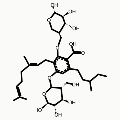 CCC(C)CCc1cc(OC2O[C@H](O)[C@@H](O)[C@H](O)[C@H]2CO)c(C/C=C(\C)CCC=C(C)C)c(OC[C@H]2CO[C@H](O)[C@@H](O)[C@@H]2O)c1C(=O)O